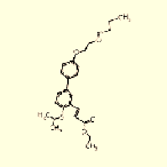 CCCCOCCOc1ccc(-c2ccc(SC(C)C)c(/C=C/C(=O)OCC)c2)cc1